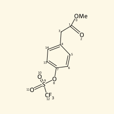 COC(=O)Cc1ccc(OS(=O)(=O)C(F)(F)F)cc1